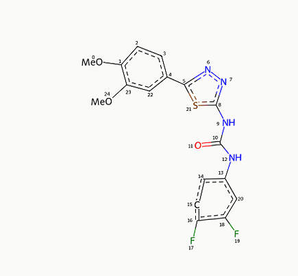 COc1ccc(-c2nnc(NC(=O)Nc3ccc(F)c(F)c3)s2)cc1OC